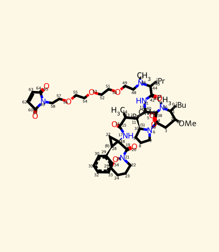 CCC(C)C(C(CC(=O)N1CCC[C@H]1C(OC)C(C)C(=O)N[C@@]1(C(=O)N2CCCCO2)C[C@@H]1c1ccccc1)OC)N(C)C(=O)C(NC(=O)C(C(C)C)N(C)CCOCCOCCOCCN1C(=O)C=CC1=O)C(C)C